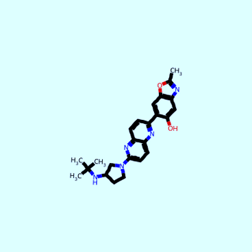 Cc1nc2cc(O)c(-c3ccc4nc(N5CCC(NC(C)(C)C)C5)ccc4n3)cc2o1